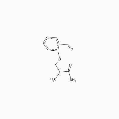 CC(COc1ccccc1C=O)C(N)=O